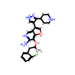 CC(Cc1ccccc1F)Oc1c(N)ncc2c(-c3c[nH]nc3C3CCNCC3)coc12